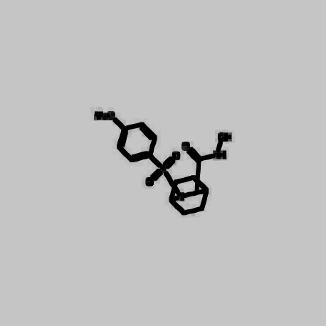 COc1ccc(S(=O)(=O)N2C3CCC(CC3)C2C(=O)NO)cc1